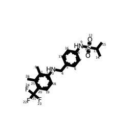 Cc1c(NCc2ccc(NS(=O)(=O)C(C)C)cc2)ccc(C(F)(F)F)c1C